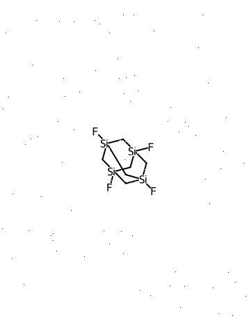 F[Si]12C[Si]3(F)C[Si](F)(C1)C[Si](F)(C2)C3